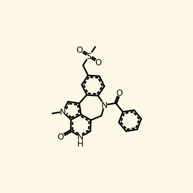 Cn1cc2c3c(c[nH]c(=O)c31)CN(C(=O)c1ccccc1)c1ccc(CS(C)(=O)=O)cc1-2